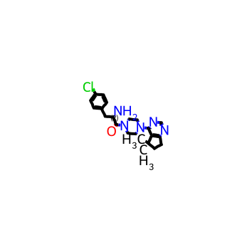 CC1(C)CCc2ncnc(N3CCN(C(=O)[C@H](N)Cc4ccc(Cl)cc4)CC3)c21